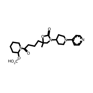 CC1(CCCC(=O)N2CCCCC2OC(=O)O)CN(C2CCN(c3ccncc3)CC2)C(=O)O1